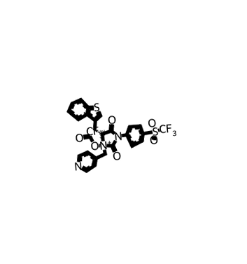 O=C1[C@@H](Cc2csc3ccccc23)[N+](Cc2ccncc2)(OC(=O)C(F)(F)F)C(=O)N1c1ccc(S(=O)(=O)C(F)(F)F)cc1